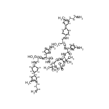 C[n+]1cc(-c2ccc(NCC(O/N=C(/C(=O)N[C@@H]3C(=O)N(OS(=O)(=O)ON4C(=O)[C@@H](NC(=O)/C(=N/OC(CNc5ccc(-c6cn(CCCN)[n+](C)c6)cc5)C(=O)O)c5csc(N)n5)C4(C)C)C3(C)C)c3csc(N)n3)C(=O)O)cc2)cn1CCCN